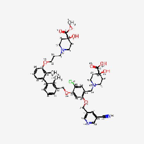 COC(=O)C1(O)CCN(CCCOc2cccc(-c3cccc(COc4cc(OCc5cncc(C#N)c5)c(CN5CCC(O)(C(=O)O)CC5)cc4Cl)c3C)c2C)CC1